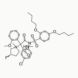 CCCCOc1ccc(S(=O)(=O)N2C(=O)C(c3ccccc3OC)([N+]3(C)C[C@H](F)C[C@H]3C(=O)NC)c3cc(Cl)ccc32)c(OCCCC)c1